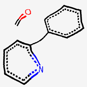 C=O.c1ccc(-c2ccccn2)cc1